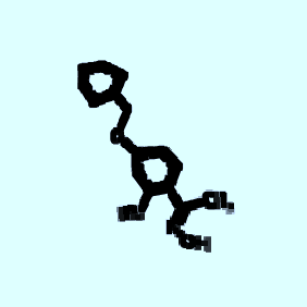 [CH2]CC(C)c1cc(OCc2ccccc2)ccc1C(C)=NO